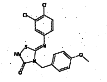 COc1ccc(Cn2c(=O)[nH]s/c2=N\c2ccc(Cl)c(Cl)c2)cc1